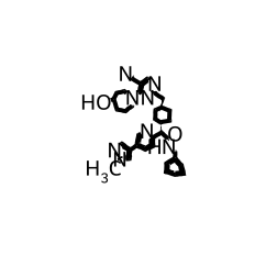 Cn1cc(-c2ccc(C(C(=O)NCc3ccccc3)[C@H]3CC[C@H](Cc4ncc(C#N)c(N5CCCC(O)CC5)n4)CC3)nc2)cn1